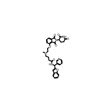 CN(CCCC(=O)NC(c1cccnc1)c1cc2ccccc2o1)CCOc1cccc2c1C(=O)N(C1CCC(=O)NC1=O)C2=O